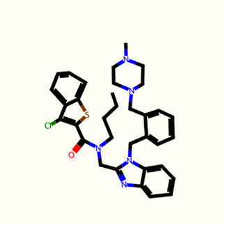 CCCCN(Cc1nc2ccccc2n1Cc1ccccc1CN1CCN(C)CC1)C(=O)c1sc2ccccc2c1Cl